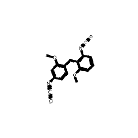 COc1cc(N=C=O)ccc1Cc1c(N=C=O)cccc1OC